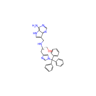 Nc1ncnc2c(CN[C@H](CO)Cc3cn(C(c4ccccc4)(c4ccccc4)c4ccccc4)cn3)c[nH]c12